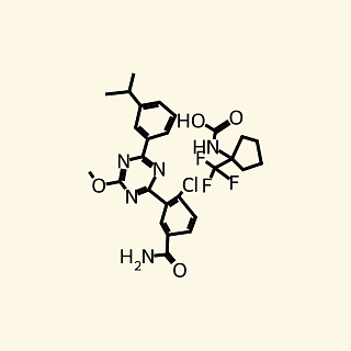 COc1nc(-c2cccc(C(C)C)c2)nc(-c2cc(C(N)=O)ccc2Cl)n1.O=C(O)NC1(C(F)(F)F)CCCC1